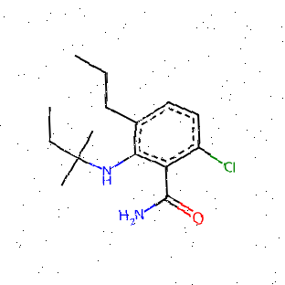 CCCc1ccc(Cl)c(C(N)=O)c1NC(C)(C)CC